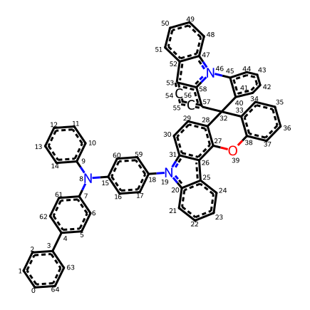 c1ccc(-c2ccc(N(c3ccccc3)c3ccc(-n4c5ccccc5c5c6c(ccc54)C4(c5ccccc5O6)c5ccccc5-n5c6ccccc6c6cccc4c65)cc3)cc2)cc1